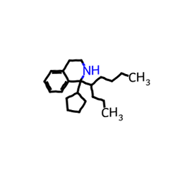 CCCCC(CCC)C1(C2CCCC2)NCCc2ccccc21